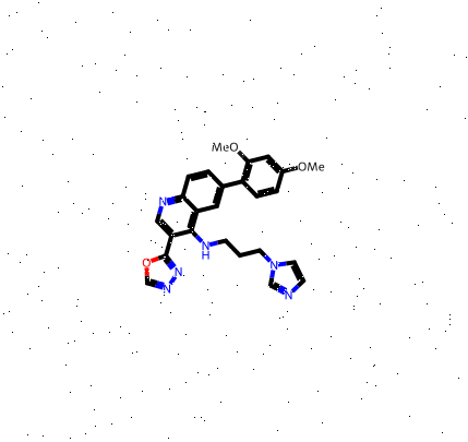 COc1ccc(-c2ccc3ncc(-c4nnco4)c(NCCCn4ccnc4)c3c2)c(OC)c1